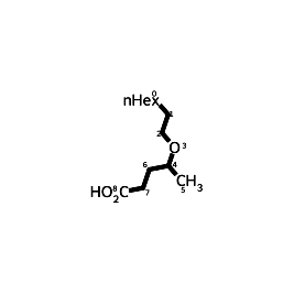 CCCCCCCCOC(C)CCC(=O)O